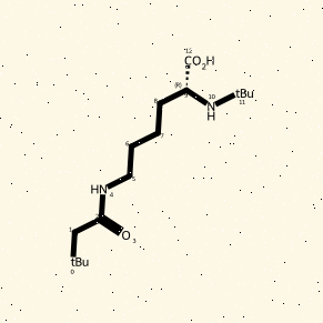 CC(C)(C)CC(=O)NCCCC[C@@H](NC(C)(C)C)C(=O)O